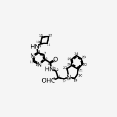 O=CC(CNC(=O)c1cc(NC2CCC2)ncn1)CN1CCc2ccccc2C1